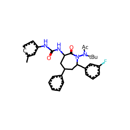 CC(=O)N(N1C(=O)C(NC(=O)Nc2cccc(C)c2)CC(c2ccccc2)CC1c1cccc(F)c1)C(C)(C)C